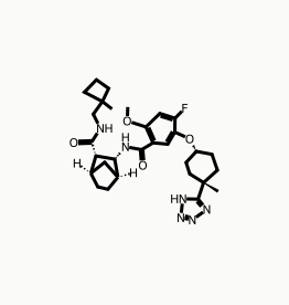 COc1cc(F)c(O[C@H]2CC[C@@](C)(c3nnn[nH]3)CC2)cc1C(=O)N[C@@H]1[C@H]2CC[C@H](C2)[C@@H]1C(=O)NCC1(C)CCC1